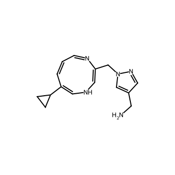 NCc1cnn(Cc2c[nH]cc(C3CC3)cccn2)c1